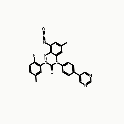 Cc1ccc(F)c(NC(=O)N(c2ccc(-c3cncnc3)cc2)c2cc(C)cc(N=C=O)c2F)c1